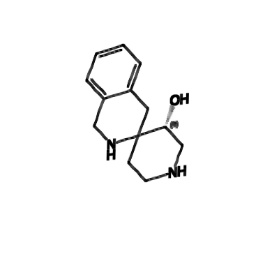 O[C@@H]1CNCCC12Cc1ccccc1CN2